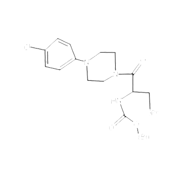 CC(C)CC(NC(=O)OC(C)(C)C)C(=O)N1CCN(c2ccc(Cl)cc2)CC1